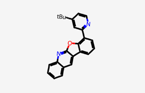 CC(C)(C)c1ccnc(-c2cccc3c2oc2nc4ccccc4cc23)c1